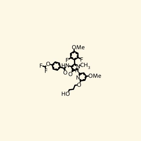 COc1cc(OCCCO)nc(-n2c(=O)c(NC(=O)c3ccc(OC(F)F)cc3)c(-c3c(F)cc(OC)cc3F)n2C)c1